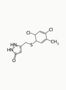 CC1=CC(SCc2cc(=O)[nH][nH]2)C(Cl)C=C1Cl